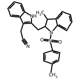 Cc1ccc(S(=O)(=O)N2c3ccccc3C(C)C2Cc2[nH]c3ccccc3c2CC#N)cc1